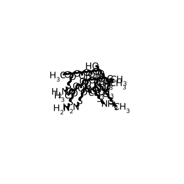 CCCSCCCOC(COCC)COCC(OCC(COCC(CO)OCC(O)COCC(O)COCC(COCC)OCCCSCCN)OCC(COCC(COCC(O)COCC(COCC)OCCCSCCN)OCC(COCCCSCCN)OCC)OCC(COCCCSCCN)OCC)C(C)(C)C